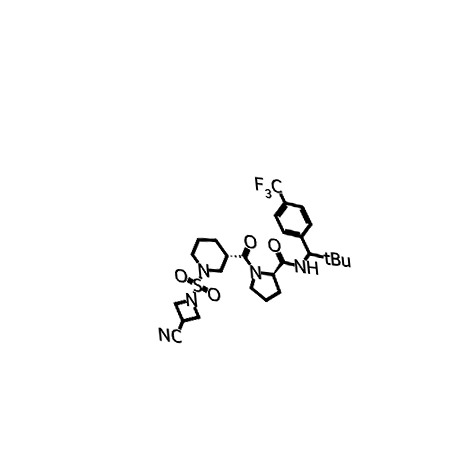 CC(C)(C)C(NC(=O)[C@H]1CCCN1C(=O)[C@H]1CCCN(S(=O)(=O)N2CC(C#N)C2)C1)c1ccc(C(F)(F)F)cc1